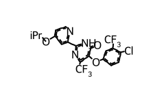 CC(C)Oc1ccnc(-c2nc(C(F)(F)F)c(Oc3ccc(Cl)c(C(F)(F)F)c3)c(=O)[nH]2)c1